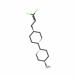 CCC[C@H]1CC[C@H]([C@H]2CC[C@H](CC=C(F)F)CC2)CC1